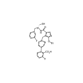 CCOc1ncc(C(=O)N[C@@H](CS)Cc2cccc(F)c2)n1Cc1ccc(-c2cccc(F)c2C(=O)O)cc1